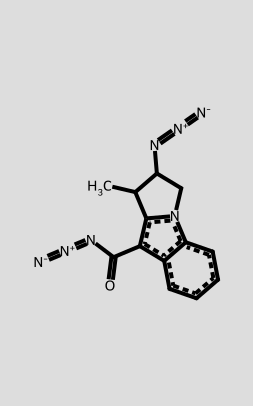 CC1c2c(C(=O)N=[N+]=[N-])c3ccccc3n2CC1N=[N+]=[N-]